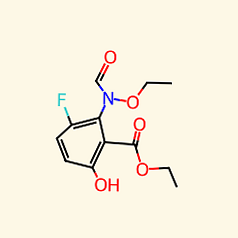 CCOC(=O)c1c(O)ccc(F)c1N(C=O)OCC